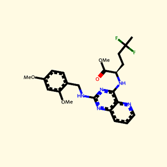 COC(=O)[C@@H](CCC(C)(F)F)Nc1nc(NCc2ccc(OC)cc2OC)nc2cccnc12